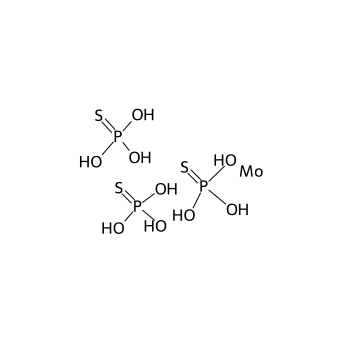 OP(O)(O)=S.OP(O)(O)=S.OP(O)(O)=S.[Mo]